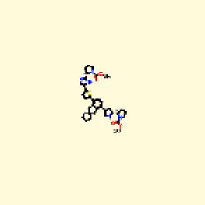 CC(C)(C)OC(=O)N1CCC[C@H]1C1=NC=C(c2ccc(-c3ccc(-c4cnc([C@@H]5CCCN5C(=O)OC(C)(C)C)[nH]4)s3)c3c2CC2(CCCC2)C3)C1